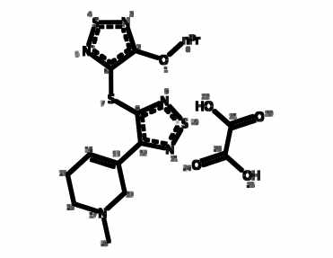 CCCOc1nsnc1Sc1nsnc1C1=CCCN(C)C1.O=C(O)C(=O)O